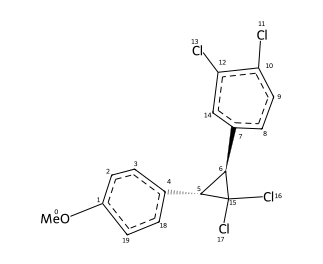 COc1ccc([C@@H]2[C@@H](c3ccc(Cl)c(Cl)c3)C2(Cl)Cl)cc1